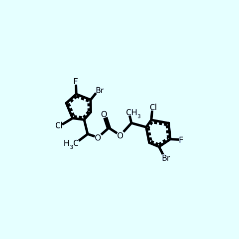 CC(OC(=O)OC(C)c1cc(Br)c(F)cc1Cl)c1cc(Br)c(F)cc1Cl